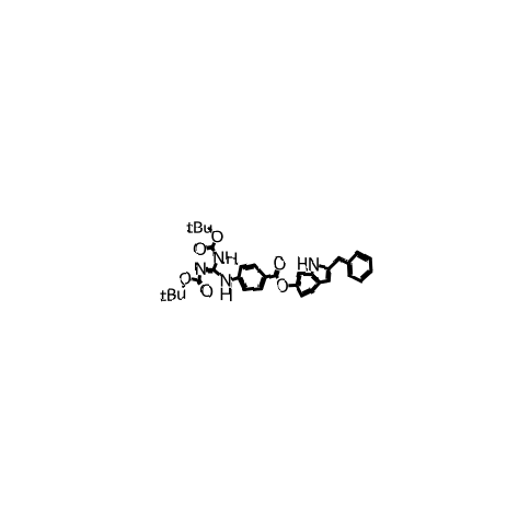 CC(C)(C)OC(=O)/N=C(/NC(=O)OC(C)(C)C)Nc1ccc(C(=O)Oc2ccc3cc(Cc4ccccc4)[nH]c3c2)cc1